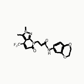 Cc1c2c(C(F)(F)F)cc(=O)n(CCC(=O)Nc3ccc4c(c3)OCCO4)c2nn1C